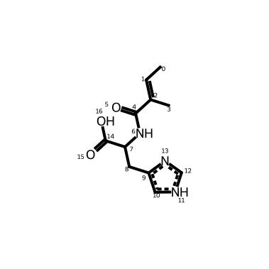 C/C=C(\C)C(=O)NC(Cc1c[nH]cn1)C(=O)O